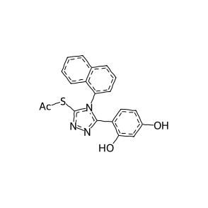 CC(=O)Sc1nnc(-c2ccc(O)cc2O)n1-c1cccc2ccccc12